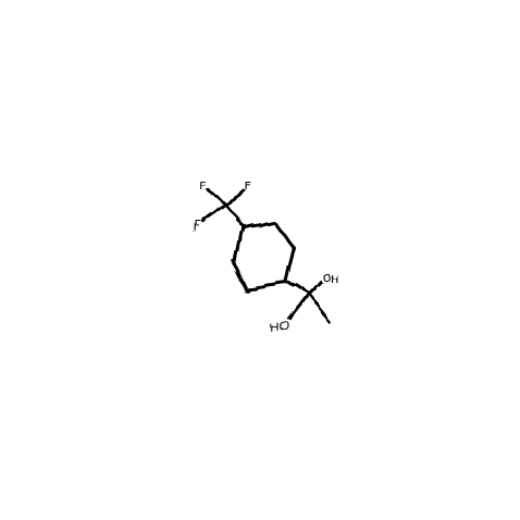 CC(O)(O)C1CCC(C(F)(F)F)CC1